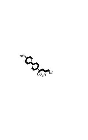 CCC=CC=C(C(=O)O)[C@H]1CC[C@H]([C@H]2CC[C@H](CCC)CC2)CC1